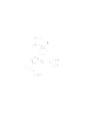 Cc1ncc(-c2ccc(/C=C\C(C)C)nc2)c(N2CCC(C)(C)CC2)c1CC(=O)O